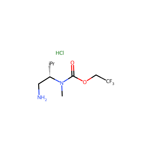 CC(C)[C@@H](CN)N(C)C(=O)OCC(F)(F)F.Cl